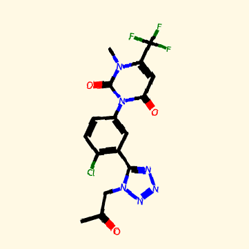 CC(=O)Cn1nnnc1-c1cc(-n2c(=O)cc(C(F)(F)F)n(C)c2=O)ccc1Cl